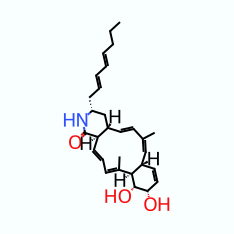 CCC/C=C/C=C/C[C@@H]1C[C@@H]2/C=C/C(C)=C\[C@@H]3C=C[C@H](O)[C@H](O)[C@H]3/C(C)=C/C=C/[C@H]2C(=O)N1